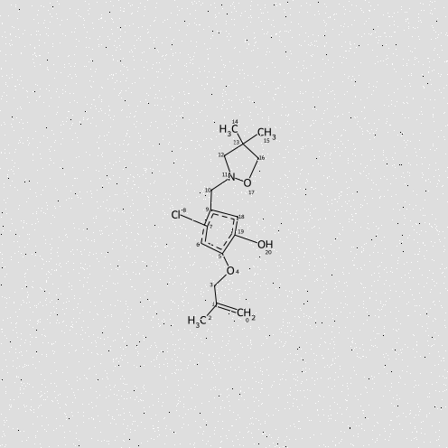 C=C(C)COc1cc(Cl)c(CN2CC(C)(C)CO2)cc1O